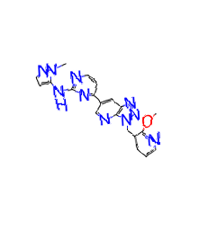 COc1ncccc1Cn1nnc2cc(-c3ccnc(Nc4ccnn4C)n3)cnc21